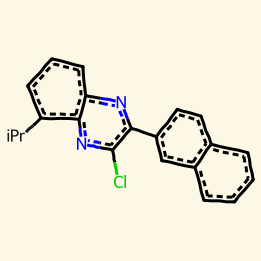 CC(C)c1cccc2nc(-c3ccc4ccccc4c3)c(Cl)nc12